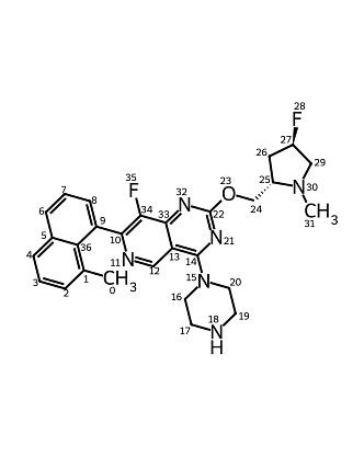 Cc1cccc2cccc(-c3ncc4c(N5CCNCC5)nc(OC[C@@H]5C[C@@H](F)CN5C)nc4c3F)c12